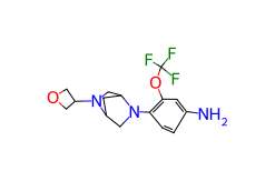 Nc1ccc(N2CC3CC2CN3C2COC2)c(OC(F)(F)F)c1